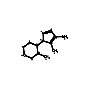 Cc1c(N)cnn1C1CCOCC1C